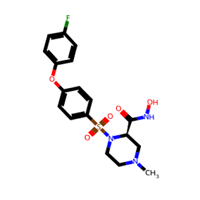 CN1CCN(S(=O)(=O)c2ccc(Oc3ccc(F)cc3)cc2)[C@@H](C(=O)NO)C1